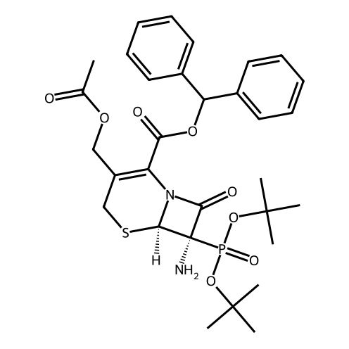 CC(=O)OCC1=C(C(=O)OC(c2ccccc2)c2ccccc2)N2C(=O)[C@@](N)(P(=O)(OC(C)(C)C)OC(C)(C)C)[C@H]2SC1